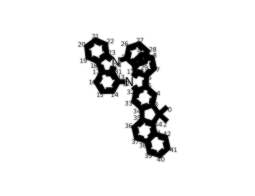 CC1(C)c2cc3c4ccccc4n(-c4cccc5c6ccccc6n(-c6ccccc6)c45)c3cc2-c2ccc3ccccc3c21